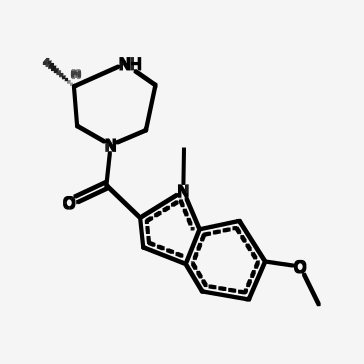 COc1ccc2cc(C(=O)N3CCN[C@@H](C)C3)n(C)c2c1